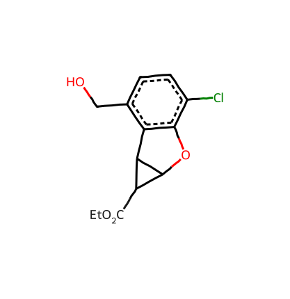 CCOC(=O)C1C2Oc3c(Cl)ccc(CO)c3C21